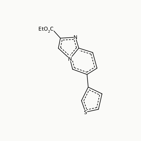 CCOC(=O)c1cn2cc(-c3ccsc3)ccc2n1